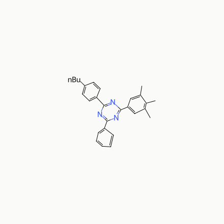 CCCCc1ccc(-c2nc(-c3ccccc3)nc(-c3cc(C)c(C)c(C)c3)n2)cc1